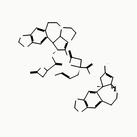 COC1=C[C@]23CCCN2CCc2cc4c(cc2[C@@H]3[C@@H]1OC(=O)[C@@]1(C/C=C/C[C@]2(C(=O)O[C@@H]3C(C)=C[C@]56CCCN5CCc5cc7c(cc5[C@H]36)OCO7)CC(=O)O2)CC(=O)O1)OCO4